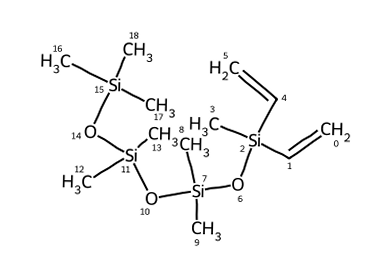 C=C[Si](C)(C=C)O[Si](C)(C)O[Si](C)(C)O[Si](C)(C)C